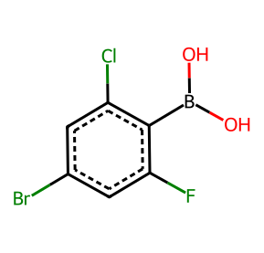 OB(O)c1c(F)cc(Br)cc1Cl